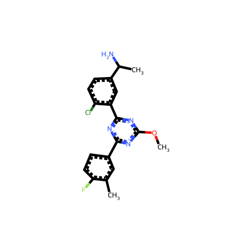 COc1nc(-c2ccc(F)c(C)c2)nc(-c2cc(C(C)N)ccc2Cl)n1